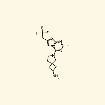 Cc1nc(N2CCC3(CC(N)C3)C2)c2cc(CC(F)(F)F)sc2n1